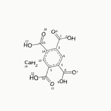 O=C(O)c1cc(C(=O)O)c(C(=O)O)cc1C(=O)O.[CaH2]